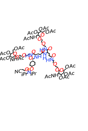 CC(=O)NC1C(OCCOCCNC(=O)CCC(NC(=O)CCC(NC(=O)[C@H]2CC[C@H](OP(OCCC#N)N(C(C)C)C(C)C)CC2)C(=O)NCCOCCOC2OC(COC(C)=O)C(OC(C)=O)C(OC(C)=O)C2NC(C)=O)C(=O)NCCOCCOC2OC(COC(C)=O)C(OC(C)=O)C(OC(C)=O)C2NC(C)=O)OC(COC(C)=O)C(OC(C)=O)C1OC(C)=O